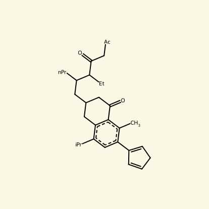 CCCC(CC1CC(=O)c2c(C)c(C3=CCC=C3)cc(C(C)C)c2C1)C(CC)C(=O)CC(C)=O